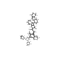 c1ccc(-c2cc(-c3ccccc3)cc(-n3c4ccccc4c4cc(-c5ccc6c(c5)c5ncccc5n6-c5cccc6c5sc5ccccc56)ccc43)c2)cc1